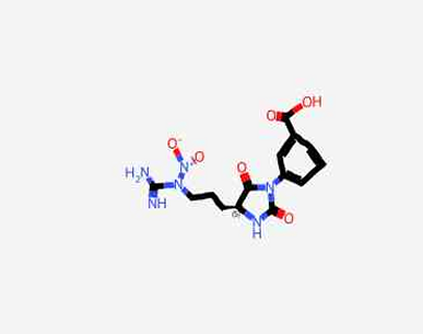 N=C(N)N(CCC[C@@H]1NC(=O)N(c2cccc(C(=O)O)c2)C1=O)[N+](=O)[O-]